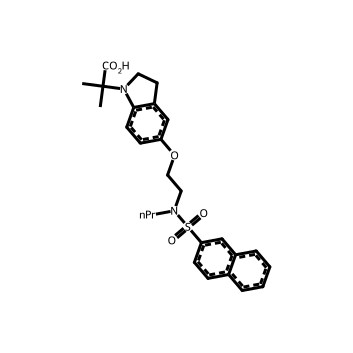 CCCN(CCOc1ccc2c(c1)CCN2C(C)(C)C(=O)O)S(=O)(=O)c1ccc2ccccc2c1